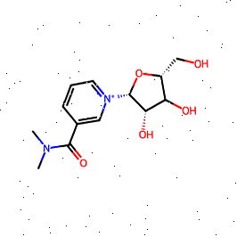 CN(C)C(=O)c1ccc[n+]([C@@H]2O[C@H](CO)C(O)[C@@H]2O)c1